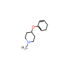 CN1CCC(OC2=CC[CH]C=C2)CC1